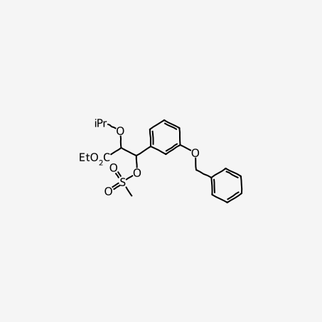 CCOC(=O)C(OC(C)C)C(OS(C)(=O)=O)c1cccc(OCc2ccccc2)c1